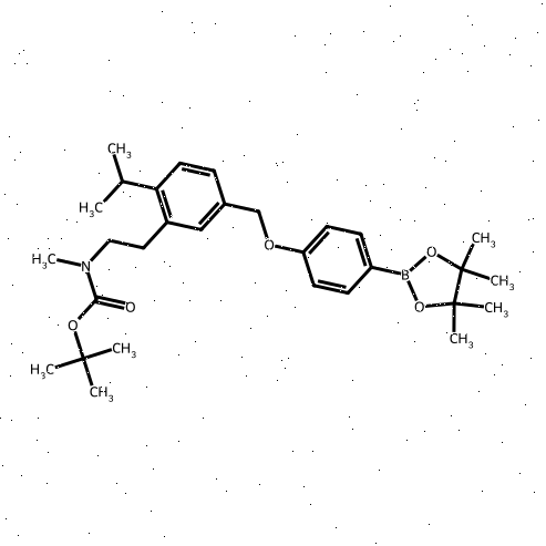 CC(C)c1ccc(COc2ccc(B3OC(C)(C)C(C)(C)O3)cc2)cc1CCN(C)C(=O)OC(C)(C)C